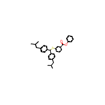 CC(C)Cc1ccc(C(Sc2cccc(C(=O)Oc3ccccc3)c2)c2ccc(CC(C)C)cc2)cc1